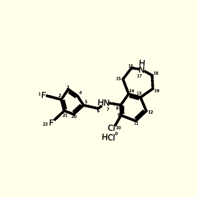 Cl.Fc1ccc(CNc2c(Cl)ccc3c2CCNCC3)cc1F